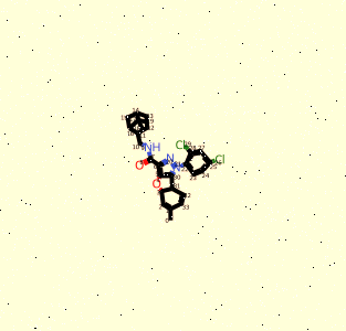 CC1=CC2Oc3c(C(=O)NCC4CCC5CC4C5(C)C)nn(-c4ccc(Cl)cc4Cl)c3C2C=C1